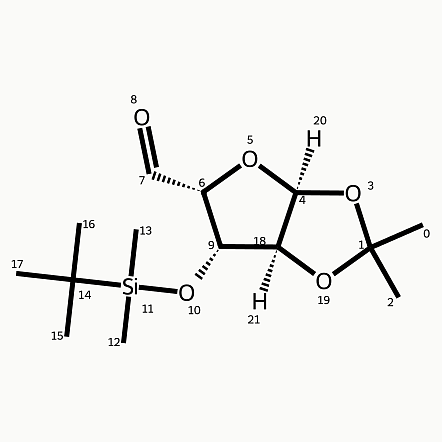 CC1(C)O[C@@H]2O[C@@H](C=O)[C@@H](O[Si](C)(C)C(C)(C)C)[C@@H]2O1